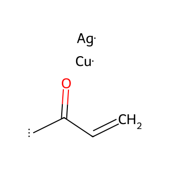 [Ag].[C]C(=O)C=C.[Cu]